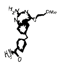 COCCOc1nc(N)nc2ccc(Cc3ccc(C(N)=O)cc3)cc12